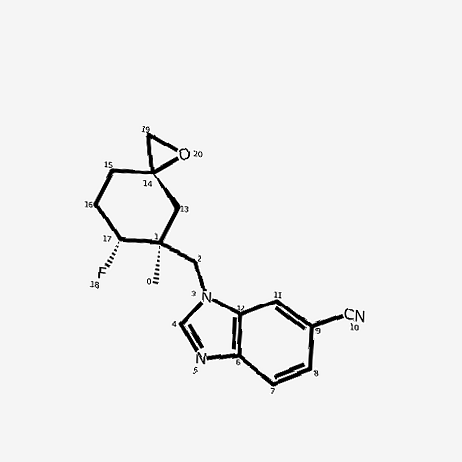 C[C@@]1(Cn2cnc3ccc(C#N)cc32)C[C@@]2(CC[C@H]1F)CO2